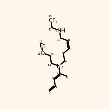 C=C/C=C(\C)N(CC/C=C\CNCC(F)(F)F)CCOCC